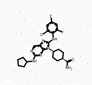 NC(=O)[C@H]1CC[C@@H](n2c(Nc3c(F)cc(F)cc3Cl)nc3cnc(NC4CCCC4)nc32)CC1